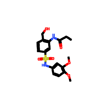 CCC(=O)Nc1cc(S(=O)(=O)Nc2ccc(OC)c(OC)c2)ccc1CO